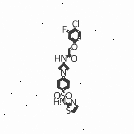 O=C(COc1ccc(Cl)c(F)c1)NC1CN(c2ccc(S(=O)(=O)Nc3nccs3)cc2)C1